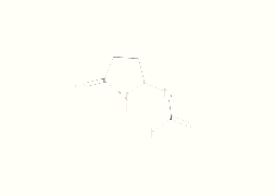 O=C(Cl)NC1CCC(=O)N1